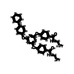 CC(C)CNC(=O)c1ccc(Oc2nc(Oc3ccc(C(=O)NCC(C)C)cc3)nc(Oc3ccc(-c4ccccc4)cc3)n2)cc1